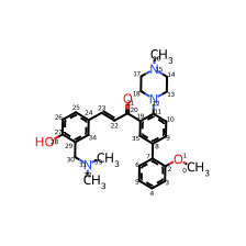 COc1ccccc1-c1ccc(N2CCN(C)CC2)c(C(=O)/C=C/c2ccc(O)c(CN(C)C)c2)c1